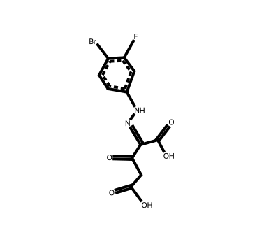 O=C(O)CC(=O)C(=NNc1ccc(Br)c(F)c1)C(=O)O